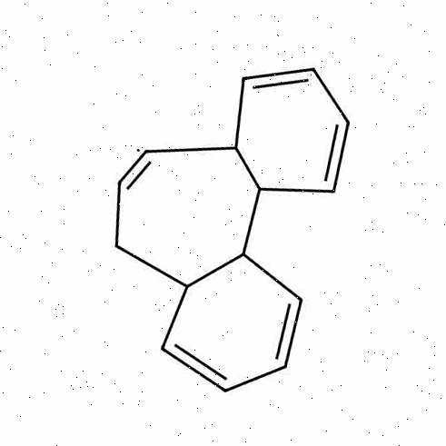 [C]1=CCC2C=CC=CC2C2C=CC=CC12